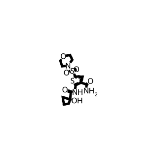 NC(=O)c1cc(S(=O)(=O)N2CCOCC2)sc1NC(=O)C1(O)CCC1